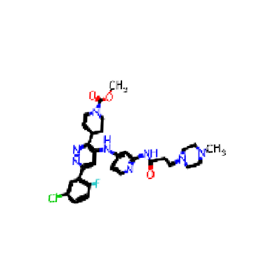 COC(=O)N1CCC(c2nnc(-c3cc(Cl)ccc3F)cc2Nc2ccnc(NC(=O)CCN3CCN(C)CC3)c2)CC1